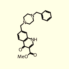 COC(=O)c1c[nH]c2cc(CN3CCN(Cc4ccccc4)CC3)ccc2c1=O